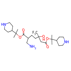 CC(C)(OC(=O)CC(O)(CCC(CN)C(=O)OC(C)(C)C1CCNCC1)C(F)(F)F)C1CCNCC1